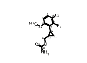 COc1ccc(Cl)c(F)c1C1CC1COC(N)=O